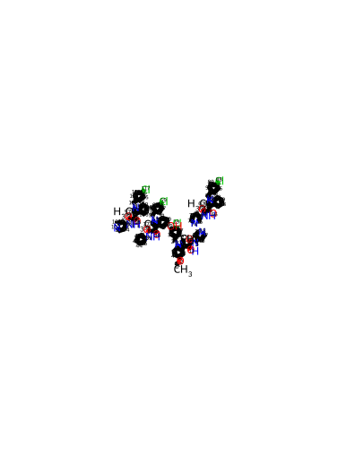 CCOc1ccc2c(c1)c(C(=O)C(=O)Nc1ccncc1)c(C)n2Cc1ccc(Cl)cc1.Cc1c(C(=O)C(=O)Nc2ccccc2)c2cc(O)ccc2n1Cc1ccc(Cl)cc1.Cc1c(C(=O)C(=O)Nc2cccnc2)c2ccccc2n1Cc1ccc(Cl)cc1.Cc1c(C(=O)C(=O)Nc2ccncc2)c2ccccc2n1Cc1ccc(Cl)cc1